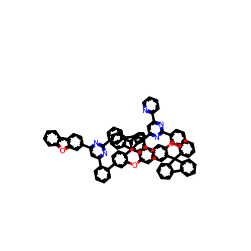 c1ccc(-c2nc(-c3ccccn3)cc(-c3cc(-c4cccc(-c5nc(-c6ccc7c(c6)oc6ccccc67)cc(-c6ccccc6-c6ccc7c(c6)Oc6ccccc6C76c7ccccc7-c7ccccc76)n5)c4)ccc3-c3ccc4c(c3)Oc3ccccc3C43c4ccccc4-c4ccccc43)n2)cc1